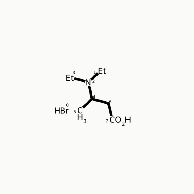 Br.CCN(CC)C(C)CC(=O)O